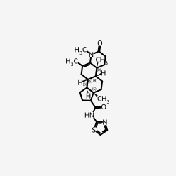 CC1=C2N(C)C(=O)CC[C@]2(C)[C@@H]2CC[C@]3(C)C(C(=O)Nc4nccs4)CC[C@H]3[C@@H]2C1